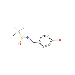 CC(C)(C)[S+]([O-])N=Cc1ccc(O)cc1